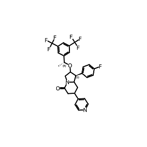 C[C@@H](OC1CN2C(=O)CC(c3ccncc3)CC2[C@@H]1c1ccc(F)cc1)c1cc(C(F)(F)F)cc(C(F)(F)F)c1